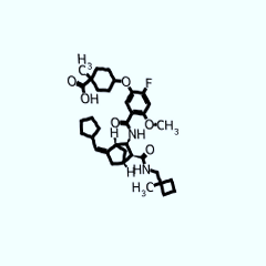 COc1cc(F)c(OC2CCC(C)(C(=O)O)CC2)cc1C(=O)N[C@H]1[C@@H](C(=O)NCC2(C)CCC2)[C@@H]2C/C(=C/C3CCCC3)[C@H]1C2